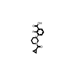 O=C(O)c1cccc([C@@H]2CCCN(C(=O)C3CC3)C2)c1F